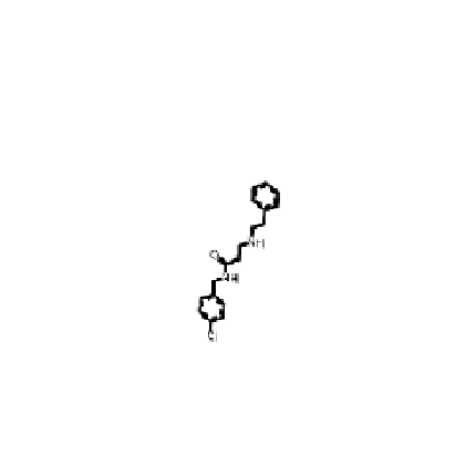 O=C(CCNCCc1ccccc1)NCc1ccc(Cl)cc1